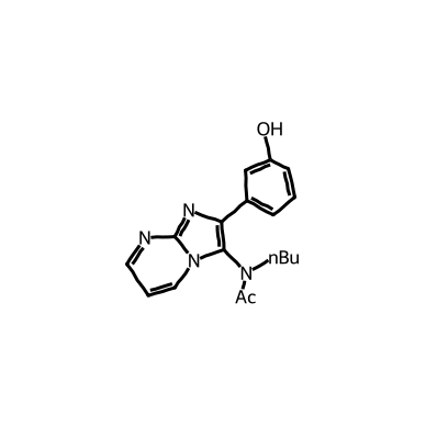 CCCCN(C(C)=O)c1c(-c2cccc(O)c2)nc2ncccn12